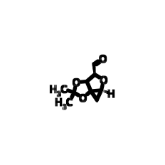 CC1(C)OC2[C@@H](C=O)O[C@H]3CC23O1